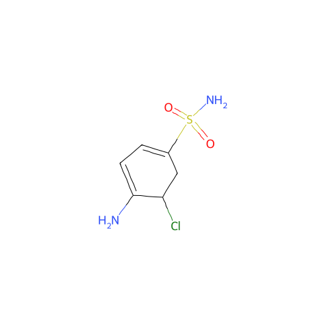 NC1=CC=C(S(N)(=O)=O)CC1Cl